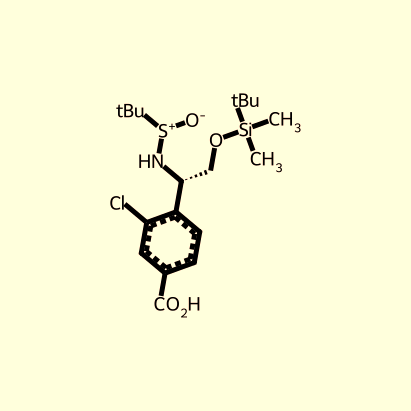 CC(C)(C)[S+]([O-])N[C@H](CO[Si](C)(C)C(C)(C)C)c1ccc(C(=O)O)cc1Cl